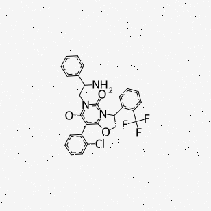 NC(Cn1c(=O)c(-c2ccccc2Cl)c2n(c1=O)C(c1ccccc1C(F)(F)F)CO2)c1ccccc1